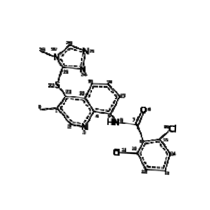 Cc1cnc2c(NC(=O)c3c(Cl)cccc3Cl)cccc2c1Sc1nncn1C